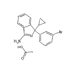 CC(=O)O.NC1=NC(c2cccc(Br)c2)(C2CC2)c2ccccc21